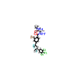 C[C@@H](NC(=O)c1ccc(/C(F)=C/C(c2cc(Cl)c(Cl)c(Cl)c2)C(C)(F)F)cc1Br)C(=O)NCC(F)(F)F